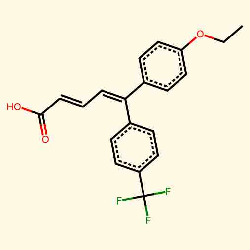 CCOc1ccc(C(=CC=CC(=O)O)c2ccc(C(F)(F)F)cc2)cc1